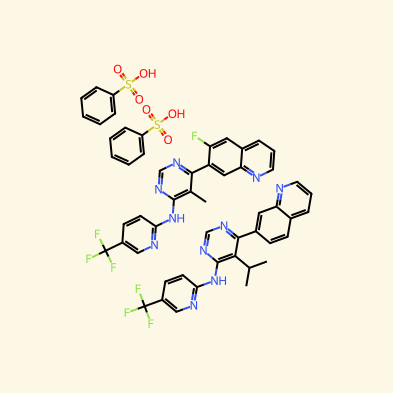 CC(C)c1c(Nc2ccc(C(F)(F)F)cn2)ncnc1-c1ccc2cccnc2c1.Cc1c(Nc2ccc(C(F)(F)F)cn2)ncnc1-c1cc2ncccc2cc1F.O=S(=O)(O)c1ccccc1.O=S(=O)(O)c1ccccc1